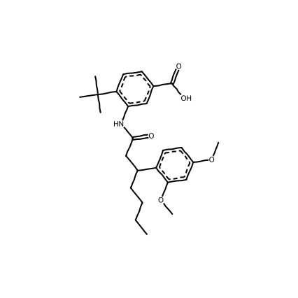 CCCCC(CC(=O)Nc1cc(C(=O)O)ccc1C(C)(C)C)c1ccc(OC)cc1OC